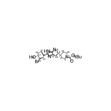 CC(C)(C)OC(=O)N1CCC(c2cnc3[nH]c(C4=CCC(O)C(Br)=C4)nc3c2)CC1